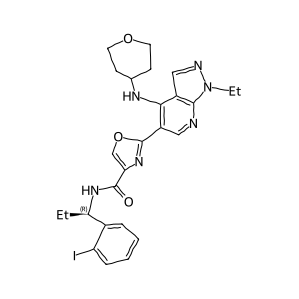 CC[C@@H](NC(=O)c1coc(-c2cnc3c(cnn3CC)c2NC2CCOCC2)n1)c1ccccc1I